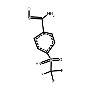 N=S(=O)(c1ccc(/C(N)=N/O)cc1)C(F)(F)F